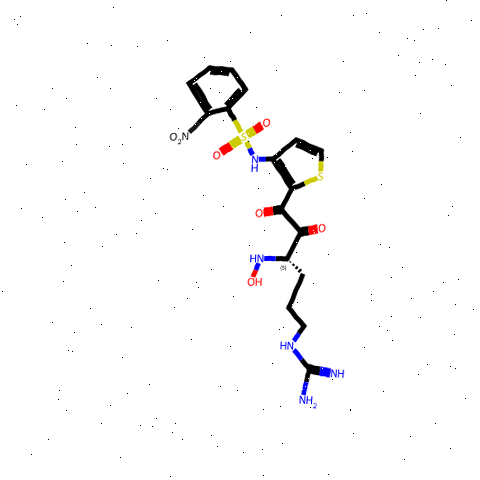 N=C(N)NCCC[C@H](NO)C(=O)C(=O)c1sccc1NS(=O)(=O)c1ccccc1[N+](=O)[O-]